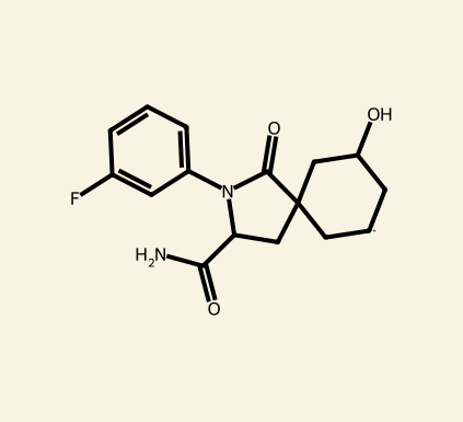 NC(=O)C1CC2(C[CH]CC(O)C2)C(=O)N1c1cccc(F)c1